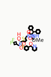 COC(=O)N[C@H](C(=O)NCc1ccc([C@@H](CO)N(CC2CC(F)(F)C2)S(=O)(=O)c2cccc(C(=O)c3ccccn3)c2)s1)C(c1ccccc1)c1ccccc1